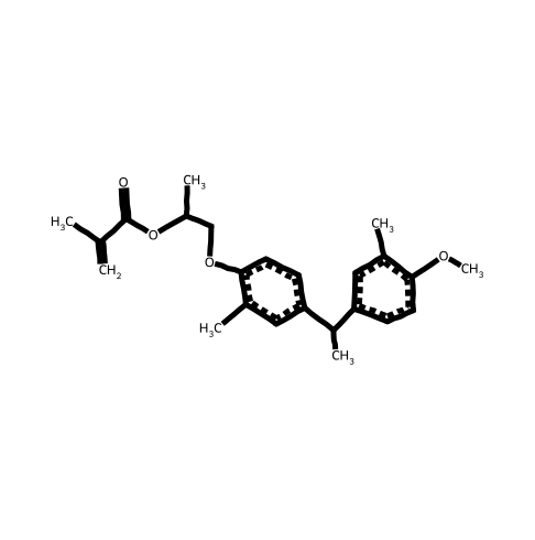 C=C(C)C(=O)OC(C)COc1ccc(C(C)c2ccc(OC)c(C)c2)cc1C